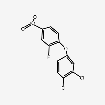 O=[N+]([O-])c1ccc(Oc2ccc(Cl)c(Cl)c2)c(F)c1